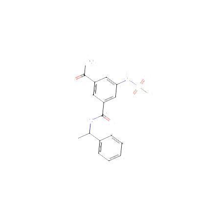 CCS(=O)(=O)Nc1cc(C(=O)NC(C)c2ccccc2)cc(C(=O)OC)c1